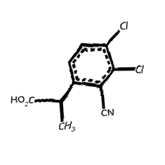 CC(C(=O)O)c1ccc(Cl)c(Cl)c1C#N